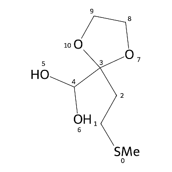 CSCCC1(C(O)O)OCCO1